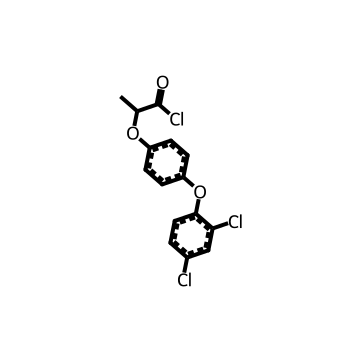 CC(Oc1ccc(Oc2ccc(Cl)cc2Cl)cc1)C(=O)Cl